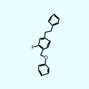 Fc1cc(CCc2ccccc2)ccc1COc1ccccc1